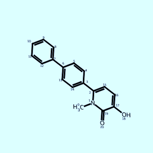 Cn1c(-c2ccc(-c3ccccc3)cc2)ccc(O)c1=O